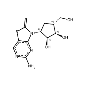 C=C1Sc2cnc(N)nc2N1[C@@H]1C[C@H](CO)[C@@H](O)[C@H]1O